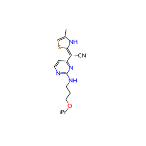 CC1=CSC(=C(C#N)c2ccnc(NCCCOC(C)C)n2)N1